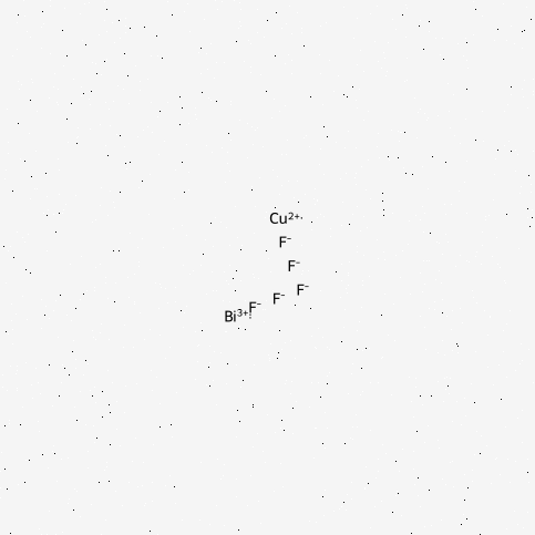 [Bi+3].[Cu+2].[F-].[F-].[F-].[F-].[F-]